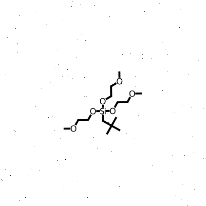 COCCO[Si](CC(C)(C)C)(OCCOC)OCCOC